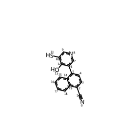 N#Cc1ccc(-c2cncc(S)c2O)c2ccccc12